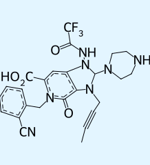 CC#CCN1c2c(cc(C(=O)O)n(Cc3ccccc3C#N)c2=O)N(NC(=O)C(F)(F)F)C1N1CCNCC1